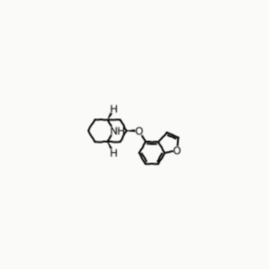 c1cc(O[C@@H]2C[C@H]3CCC[C@@H](C2)N3)c2ccoc2c1